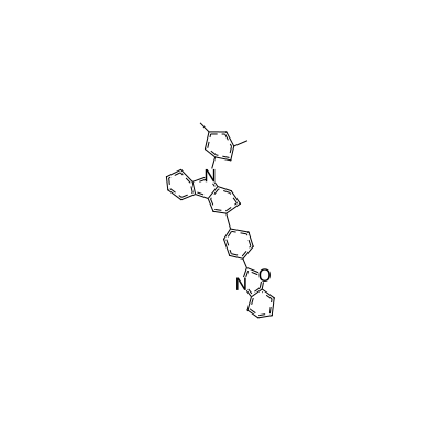 Cc1cc(C)cc(-n2c3ccccc3c3cc(-c4ccc(-c5nc6ccccc6o5)cc4)ccc32)c1